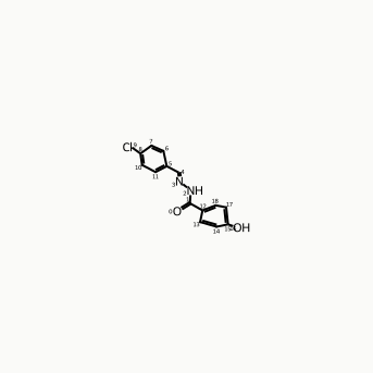 O=C(N/N=C/c1ccc(Cl)cc1)c1ccc(O)cc1